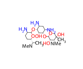 CNC(C)[C@@H]1CC[C@@H](N)[C@@H](O[C@H]2[C@@H](O)[C@@H](O[C@H]3OC[C@](C)(O)[C@H](NC)[C@@H]3O)[C@H](N)C[C@@H]2N)O1